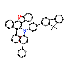 CC1(C)c2ccccc2-c2ccc(-c3ccc(N(c4ccc(-c5ccccc5)cc4)c4c(-c5ccccc5)c5ccccc5c5oc6ccccc6c45)cc3)cc21